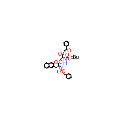 CN(C(=O)OCc1ccccc1)[C@@H](Cc1ccc2ccccc2c1)C(=O)OC[C@H](NC(=O)OC(C)(C)C)C(=O)OCC(=O)c1ccccc1